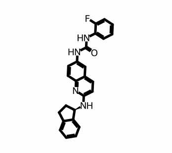 O=C(Nc1ccc2nc(N[C@@H]3CCc4ccccc43)ccc2c1)Nc1ccccc1F